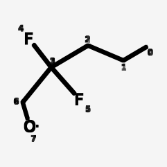 CCCC(F)(F)C[O]